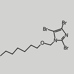 BrCCCCCCOCn1c(Br)nc(Br)c1Br